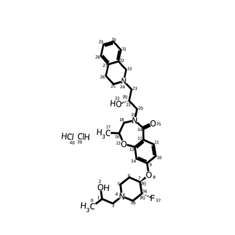 CC(O)CN1CC[C@@H](Oc2ccc3c(c2)OC(C)CN(C[C@H](O)CN2CCc4ccccc4C2)C3=O)[C@H](F)C1.Cl.Cl